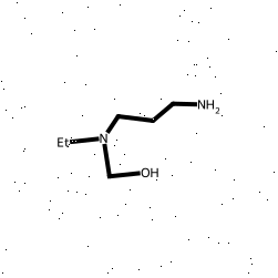 CCN(CO)CCCN